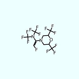 F/C=C(\N1CC(C(F)(F)F)OC(C(F)(F)F)C1)N(C(F)(F)F)C(F)(F)F